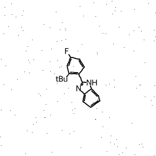 CC(C)(C)c1cc(F)ccc1-c1nc2ccccc2[nH]1